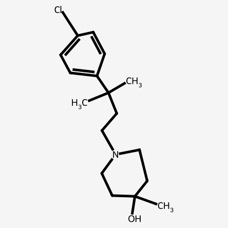 CC1(O)CCN(CCC(C)(C)c2ccc(Cl)cc2)CC1